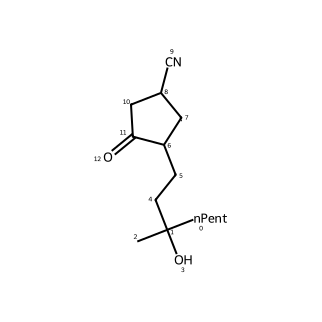 CCCCCC(C)(O)CCC1[CH]C(C#N)CC1=O